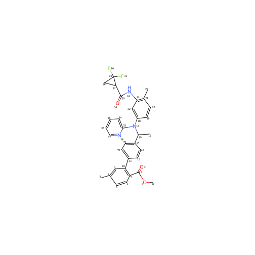 COC(=O)c1ccc(C)cc1-c1ccc(C(C)N(c2ccc(C)c(NC(=O)C3CC3(F)F)c2)c2ccccn2)cc1